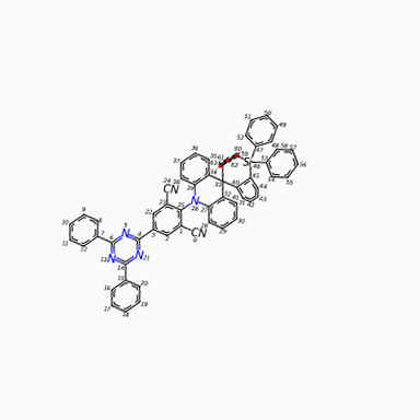 N#Cc1cc(-c2nc(-c3ccccc3)nc(-c3ccccc3)n2)cc(C#N)c1N1c2ccccc2C2(c3ccccc31)c1ccccc1[Si](c1ccccc1)(c1ccccc1)c1ccccc12